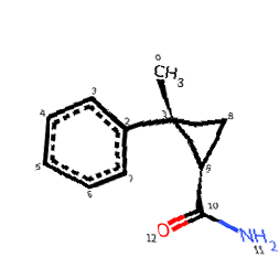 C[C@@]1(c2ccccc2)C[C@H]1C(N)=O